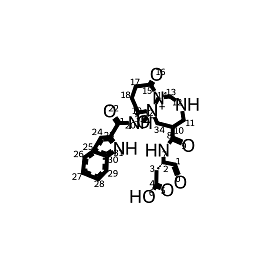 O=C[C@H](CC(=O)O)NC(=O)C1CNCN2C(=O)CCC(NC(=O)c3cc4ccccc4[nH]3)[N+]2([O-])C1